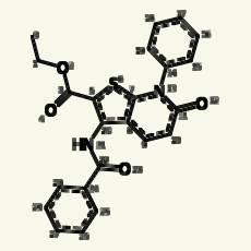 CCOC(=O)c1sc2c(ccc(=O)n2-c2ccccc2)c1NC(=O)c1ccccc1